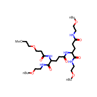 CCCCOCCNC(=O)CCC(NC(=O)CCC(NC(=O)CCOCCOC)C(=O)NCCOCCCC)C(=O)NCCOCCCC